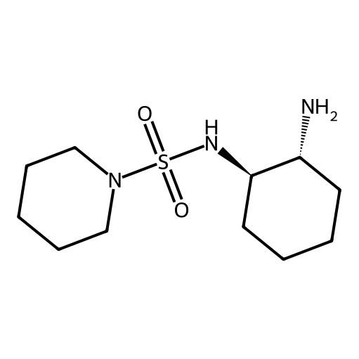 N[C@@H]1CCCC[C@H]1NS(=O)(=O)N1CCCCC1